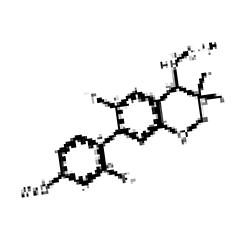 COc1ccc(-c2cc3c(cc2F)C(NC(=O)O)C(C)(C)CO3)c(F)c1